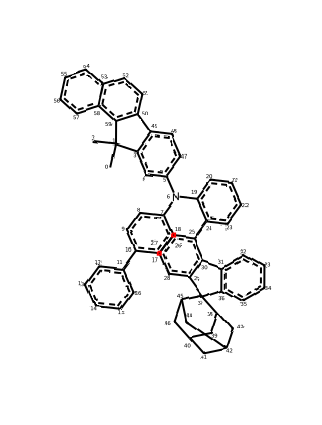 CC1(C)c2cc(N(c3ccc(-c4ccccc4)cc3)c3ccccc3-c3cccc4c3-c3ccccc3C43C4CC5CC(C4)CC3C5)ccc2-c2ccc3ccccc3c21